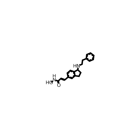 O=C(C=Cc1ccc2c(c1)CCC2NCCc1ccccc1)NO